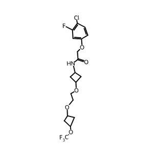 O=C(COc1ccc(Cl)c(F)c1)NC1CC(OCCOC2CC(OC(F)(F)F)C2)C1